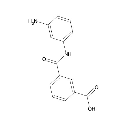 Nc1cccc(NC(=O)c2cccc(C(=O)O)c2)c1